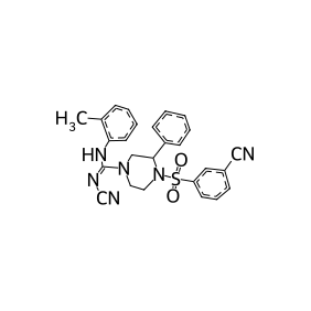 Cc1ccccc1N/C(=N/C#N)N1CCN(S(=O)(=O)c2cccc(C#N)c2)C(c2ccccc2)C1